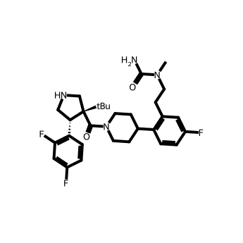 CN(CCc1cc(F)ccc1C1CCN(C(=O)[C@@]2(C(C)(C)C)CNC[C@H]2c2ccc(F)cc2F)CC1)C(N)=O